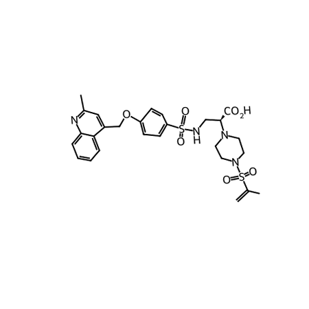 C=C(C)S(=O)(=O)N1CCN([C@@H](CNS(=O)(=O)c2ccc(OCc3cc(C)nc4ccccc34)cc2)C(=O)O)CC1